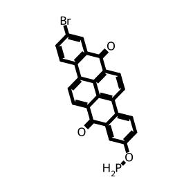 O=C1c2cc(Br)ccc2-c2ccc3c4c(ccc1c24)-c1ccc(OP)cc1C3=O